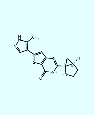 Cc1[nH]ncc1-c1cc2nc([C@]34C[C@H]3CCN4)[nH]c(=O)c2s1